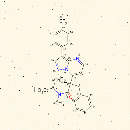 CC(C(=O)O)N(C)C(=O)[C@@](C)(Cc1ccccc1)c1ccnc2c(-c3ccc(C(F)(F)F)cc3)cnn12